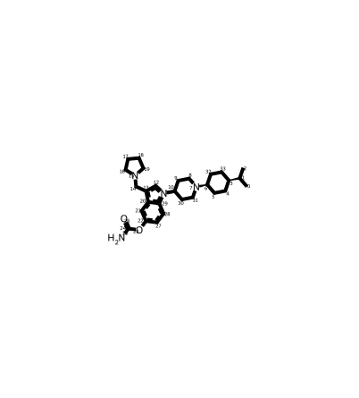 CC(C)[C@H]1CC[C@@H](N2CCC(n3cc(CN4CCCC4)c4cc(OC(N)=O)ccc43)CC2)CC1